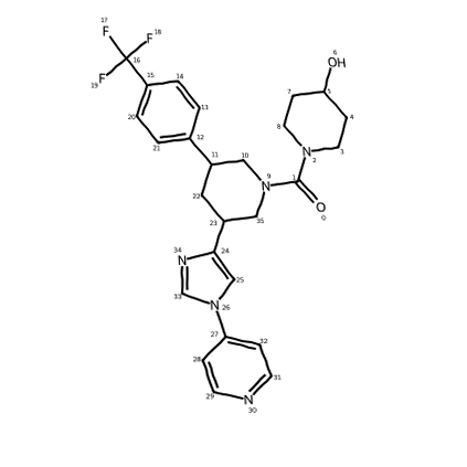 O=C(N1CCC(O)CC1)N1CC(c2ccc(C(F)(F)F)cc2)CC(c2cn(-c3ccncc3)cn2)C1